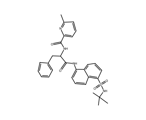 Cc1cccc(C(=O)NC(Cc2ccccc2)C(=O)Nc2cccc3c(S(=O)(=O)NC(C)(C)C)cccc23)n1